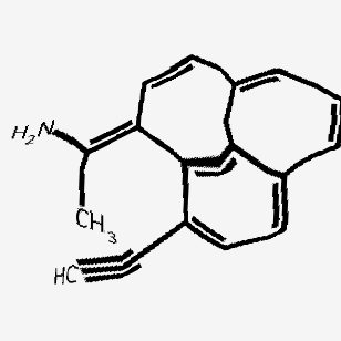 C#Cc1ccc2cccc3cc/c(=C(/C)N)c1c23